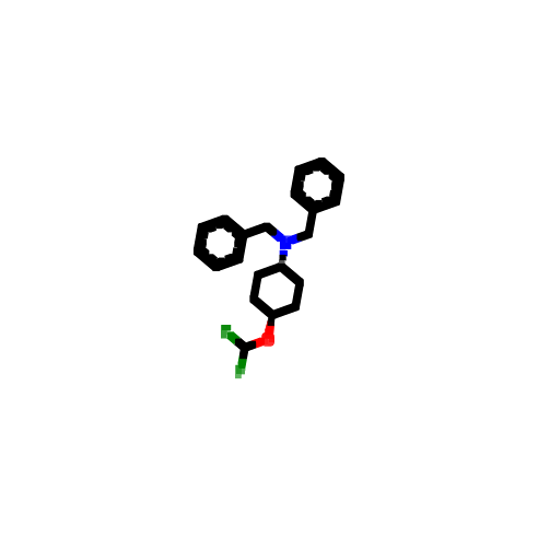 FC(F)O[C@H]1CC[C@H](N(Cc2ccccc2)Cc2ccccc2)CC1